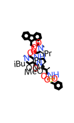 CC[C@H](C)[C@@H]([C@@H](CC(=O)N1CCC[C@H]1[C@H](OC)[C@@H](C)C(=O)NS(=O)(=O)Cc1ccccc1)OC)N(C)C(=O)[C@@H](NC(=O)[C@H](C(C)C)N(C)C(=O)OCC1c2ccccc2-c2ccccc21)C(C)C